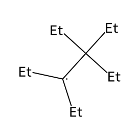 [CH2]CC(CC)(CC)[C](CC)CC